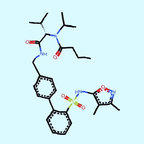 CCCC(=O)N(C(C)C)[C@H](C(=O)NCc1ccc(-c2ccccc2S(=O)(=O)Nc2onc(C)c2C)cc1)C(C)C